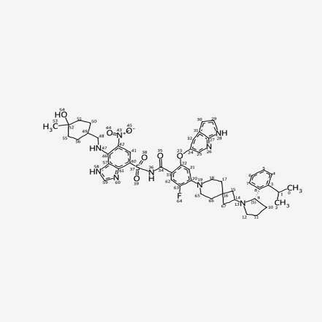 CC(C)c1ccccc1[C@@H]1CCCN1C1CC2(CCN(c3cc(Oc4cnc5[nH]ccc5c4)c(C(=O)NS(=O)(=O)c4cc([N+](=O)[O-])c(NCC5CCC(C)(O)CC5)c5[nH]cnc45)cc3F)CC2)C1